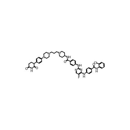 O=C1CCC(c2ccc(N3CCN(CCCN4CCC(NC(=O)c5ccc(Nc6ncc(F)c(Nc7ccc(C(=O)Nc8ccccc8Cl)cc7)n6)cc5)CC4)CC3)cc2)C(=O)N1